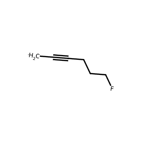 [CH2]C#CCCCF